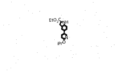 CCOC(=O)C1Cc2cc(-c3ccc(OC(C)C)nc3)ccc2N1